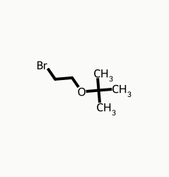 CC(C)(C)OCCBr